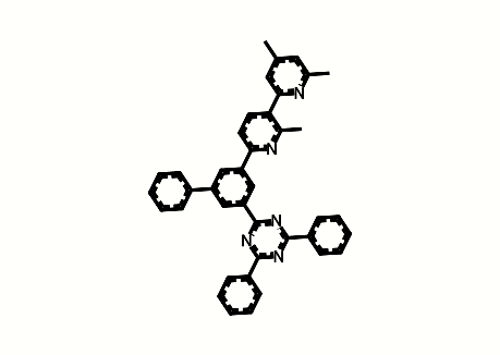 Cc1cc(C)nc(-c2ccc(-c3cc(-c4ccccc4)cc(-c4nc(-c5ccccc5)nc(-c5ccccc5)n4)c3)nc2C)c1